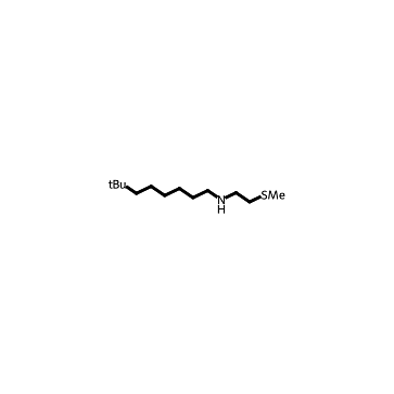 CSCCNCCCCCCC(C)(C)C